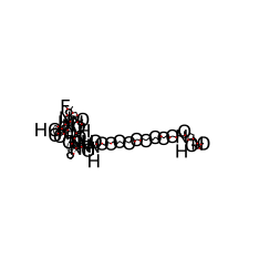 CC[C@@]1(O)C(=O)OCc2c1cc1n(c2=O)Cc2c-1nc1cc(F)c(C)c3c1c2[C@@H](NC(=O)C1(OCNC(=O)CNC(=O)[C@H](Cc2ccccc2)NC(=O)CNC(=O)CNC(=O)COCCOCCOCCOCCOCCOCCOCCOCCOCCNC(=O)C2CCC(CN4C(=O)C=CC4=O)CC2)CC1)CC3